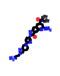 CCCN(CCC)C(=O)C1=Cc2ccc(C(=O)Nc3ccc(N4CCC(CNCCN)CC4)nc3)cc2N=C(N)C1